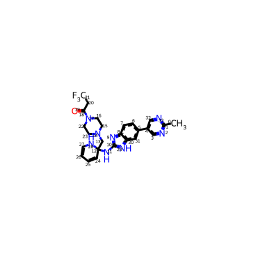 Cc1ncc(-c2ccc3nc(NC4(CN5CCN(C(=O)CC(F)(F)F)CC5)C=CC=CN4)[nH]c3c2)cn1